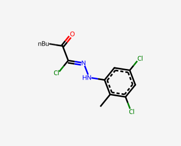 CCCCC(=O)C(Cl)=NNc1cc(Cl)cc(Cl)c1C